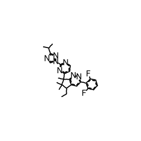 CCC1c2cc(-c3c(F)cccc3F)nnc2C(C)(c2ccnc(-n3cnc(C(C)C)n3)n2)C1(C)C